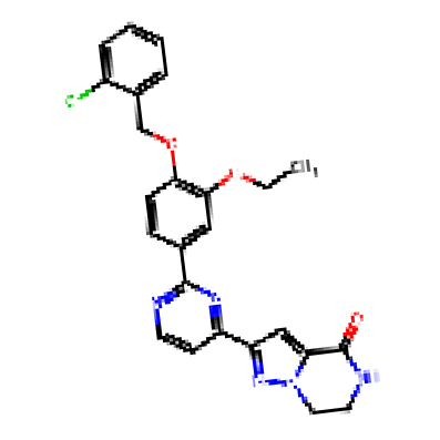 CCOc1cc(-c2nccc(-c3cc4n(n3)CCNC4=O)n2)ccc1OCc1ccccc1Cl